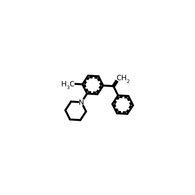 C=C(c1ccccc1)c1ccc(C)c(N2CCCCC2)c1